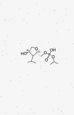 CC(C)OP(=O)(O)OC[C@H]1OC[C@H](O)C1C(C)C